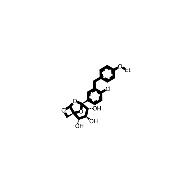 CCOc1ccc(Cc2cc([C@]34OC5OC[C@@]5(O3)[C@@H](O)[C@H](O)[C@H]4O)ccc2Cl)cc1